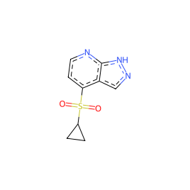 O=S(=O)(c1ccnc2[nH]ncc12)C1CC1